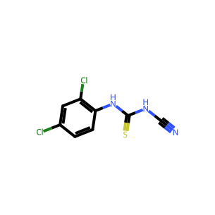 N#CNC(=S)Nc1ccc(Cl)cc1Cl